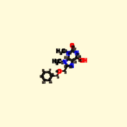 Cn1c(COCc2ccccc2)nc2c(O)nc(=O)n(C)c21